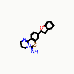 N=C1Sc2cc(C3Cc4ccccc4O3)ccc2C2=NCCCN12